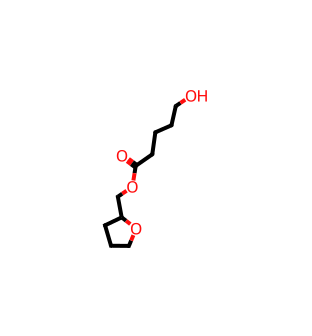 O=C(CCCCO)OCC1CCCO1